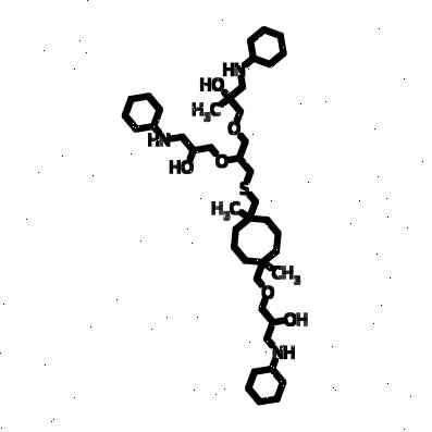 CC(O)(CNC1CCCCC1)COCC(CSCC1(C)CCCC(C)(COCC(O)CNC2CCCCC2)CCC1)OCC(O)CNC1CCCCC1